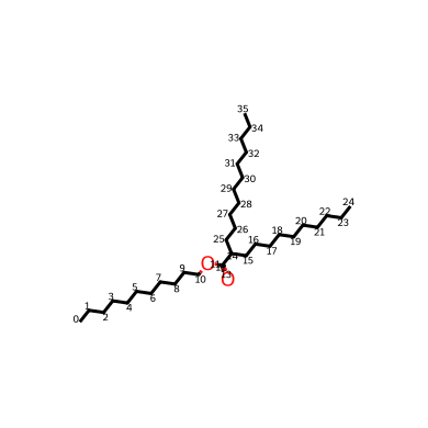 CCCCCCCCCCCOC(=O)C(CCCCCCCCCC)CCCCCCCCCCC